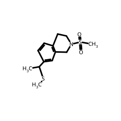 CSC(C)c1ccc2c(c1)CN(S(C)(=O)=O)CC2